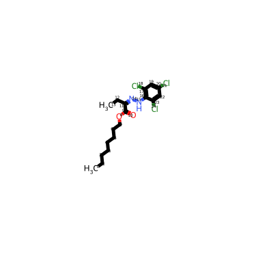 CCCCCCCCOC(=O)C(CC)=NNc1c(Cl)cc(Cl)cc1Cl